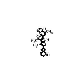 CC1=CC(c2[nH]c3sc(C4CC5(CCCNC5)C4)c(C)c3c2C(C)C)=CN2N=CNC12